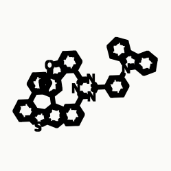 c1ccc(-c2nc(-c3cccc(-n4c5ccccc5c5ccccc54)c3)nc(-c3cccc4oc5ccc(-c6cccc7sc8cccc(-c9ccccc9)c8c67)cc5c34)n2)cc1